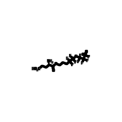 N[C@@H](CCC(=O)O)C(=O)OCCCC(F)(F)C(F)(F)OC(F)(F)C(F)(F)S(=O)(=O)F